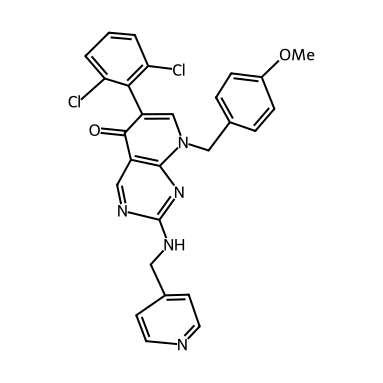 COc1ccc(Cn2cc(-c3c(Cl)cccc3Cl)c(=O)c3cnc(NCc4ccncc4)nc32)cc1